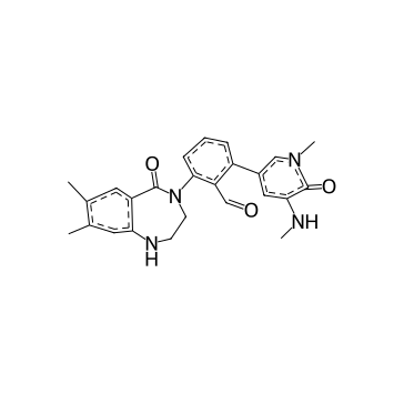 CNc1cc(-c2cccc(N3CCNc4cc(C)c(C)cc4C3=O)c2C=O)cn(C)c1=O